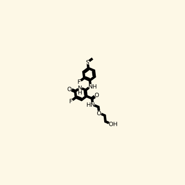 CSc1ccc(Nc2[nH]c(=O)c(F)cc2C(=O)NCOCCO)c(F)c1